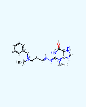 CCCCCn1c(=NN=CCCN(Cc2ccccc2)C(=O)O)[nH]c(=O)c2[nH]cnc21